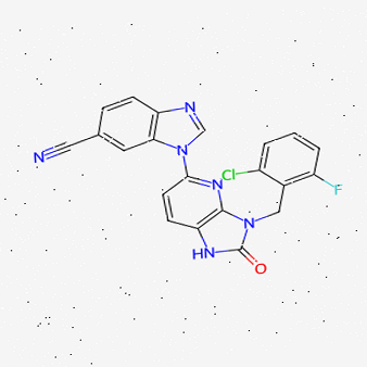 N#Cc1ccc2ncn(-c3ccc4[nH]c(=O)n(Cc5c(F)cccc5Cl)c4n3)c2c1